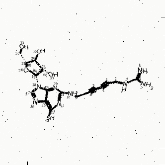 N=C(N)NCC#CC#CCNc1nc(S)c2ncn([C@@H]3O[C@H](CO)C(O)[C@@H]3O)c2n1